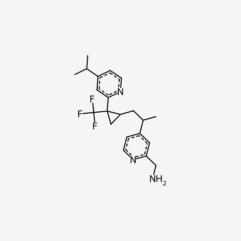 CC(C)c1ccnc(C2(C(F)(F)F)CC2CC(C)c2ccnc(CN)c2)c1